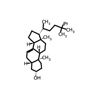 CC(CCC(C)(C)C(C)C)[C@H]1CC[C@H]2C3=CC[C@H]4C[C@@H](O)CC[C@]4(C)[C@H]3CC[C@]12C